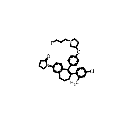 Cc1cc(Cl)ccc1C1=C(c2ccc(OC3CCN(CCCF)C3)cc2)c2ccc(N3CCCC3=O)cc2CCC1